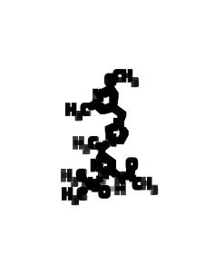 COc1cc(CN2CCN(C(C)c3cc(NC(C)=O)n([S+]([O-])N(C)C)n3)C2)cc(C)n1